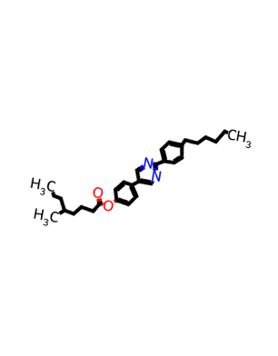 CCCCCCc1ccc(-c2ncc(-c3ccc(OC(=O)CCCC(C)CCC)cc3)cn2)cc1